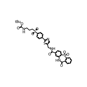 CC(C)(C)OC(=O)NCCCS(=O)(=O)c1ccc(-c2ncc(CNC(=O)c3ccc4c(c3)NC(=O)c3ccccc3S4(=O)=O)s2)cc1